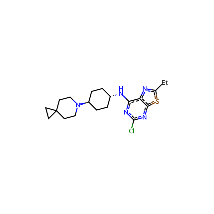 CCc1nc2c(N[C@H]3CC[C@H](N4CCC5(CC4)CC5)CC3)nc(Cl)nc2s1